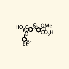 CCc1ccc(COC(=O)c2ccc([S+]([O-])c3ccc(C(=O)O)c(C(=O)OC)c3)cc2C(=O)O)cc1Br